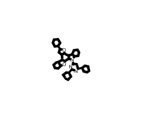 c1ccc(-c2cc(-n3c4ccccc4c4c5oc(-c6ccccc6)cc5c5c6ccccc6oc5c43)nc(-c3ccccc3)n2)cc1